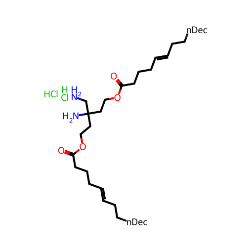 CCCCCCCCCCCCC=CCCCC(=O)OCCC(N)(CN)CCOC(=O)CCCC=CCCCCCCCCCCCC.Cl.Cl